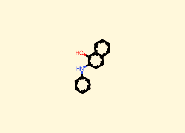 Oc1c(Nc2ccccc2)ccc2ccccc12